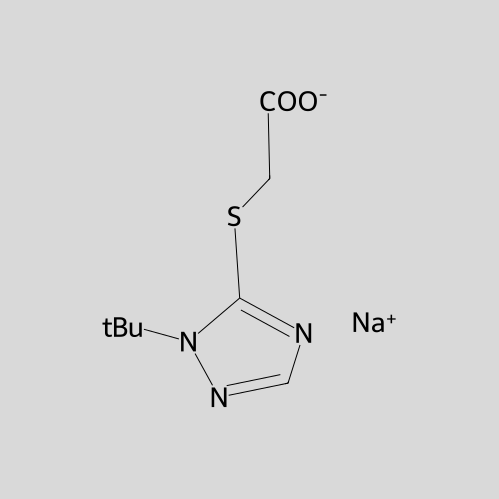 CC(C)(C)n1ncnc1SCC(=O)[O-].[Na+]